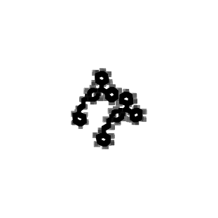 C(=C\c1ccccc1)/CN1CCN(C(c2ccccc2)c2ccccc2)CC1.C(=C\c1ccccc1)/CN1CCN(C(c2ccccc2)c2ccccc2)CC1